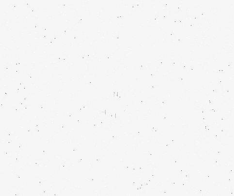 CC(O)N1CCCC1.Cl